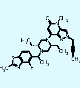 CC#CCn1cc2c(n1)c(N1C[C@@H](CC)N(C(C)c3ccc4sc(C)nc4c3F)C[C@@H]1CC)cc(=O)n2C